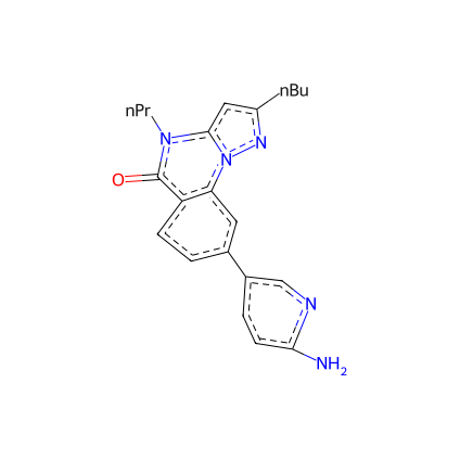 CCCCc1cc2n(CCC)c(=O)c3ccc(-c4ccc(N)nc4)cc3n2n1